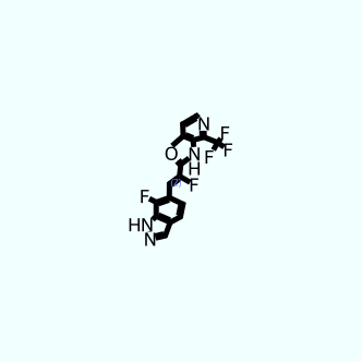 Cc1ccnc(C(F)(F)F)c1NC(=O)/C(F)=C/c1ccc2cn[nH]c2c1F